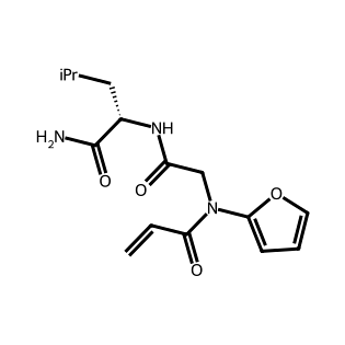 C=CC(=O)N(CC(=O)N[C@@H](CC(C)C)C(N)=O)c1ccco1